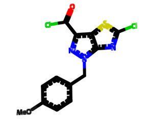 COc1ccc(Cn2nc(C(=O)Cl)c3sc(Cl)nc32)cc1